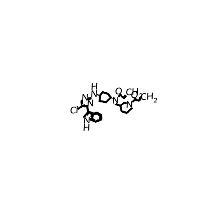 C=CC(=O)N1CCCC(CN(C(=O)C=C)[C@H]2CC[C@H](Nc3ncc(Cl)c(-c4c[nH]c5ccccc45)n3)CC2)C1